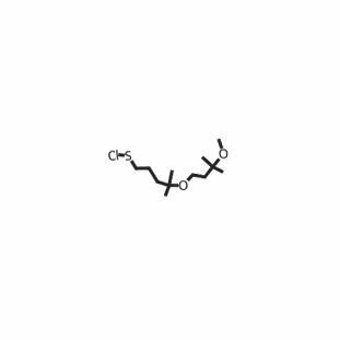 COC(C)(C)CCOC(C)(C)CCCSCl